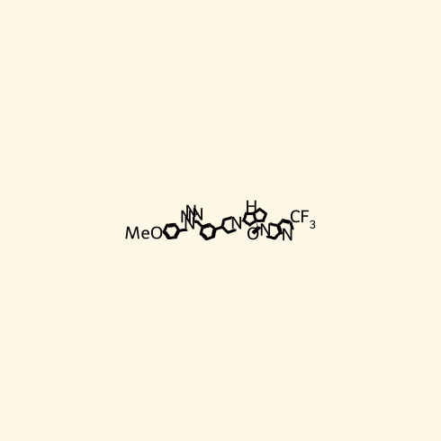 COc1ccc(Cn2nnnc2-c2cccc(C3CCN([C@@H]4C[C@H]5CCC[C@@]5(C(=O)N5CCc6ncc(C(F)(F)F)cc6C5)C4)CC3)c2)cc1